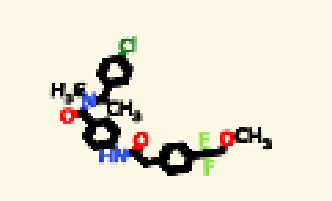 COCC(F)(F)c1ccc(CC(=O)Nc2ccc(C(=O)N(C)[C@H](C)c3ccc(Cl)cc3)cc2)cc1